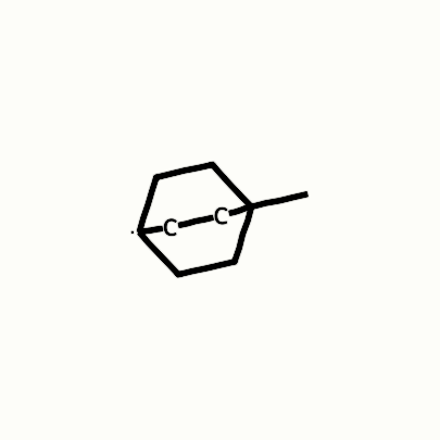 CC12CC[C](CC1)CC2